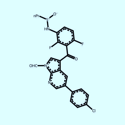 CCC[S+]([O-])Nc1ccc(F)c(C(=O)c2cn(C=O)c3ncc(-c4ccc(Cl)cc4)cc23)c1F